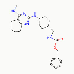 CNc1nc(N[C@H]2CC[C@@H](CNC(=O)OCc3ccccc3)CC2)nc2c1CCCC2